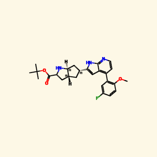 COc1ccc(F)cc1-c1ccnc2[nH]c([C@@H]3C[C@@H]4CC(C(=O)OC(C)(C)C)N[C@H]4C3)cc12